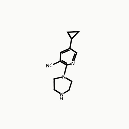 N#Cc1cc(C2CC2)cnc1N1CCNCC1